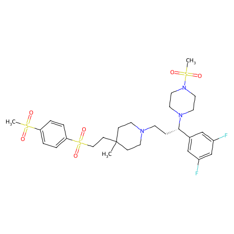 CC1(CCS(=O)(=O)c2ccc(S(C)(=O)=O)cc2)CCN(CC[C@@H](c2cc(F)cc(F)c2)N2CCN(S(C)(=O)=O)CC2)CC1